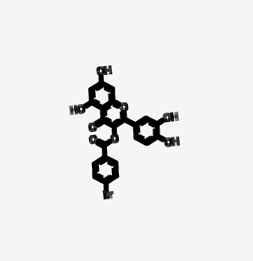 O=C(Oc1c(-c2ccc(O)c(O)c2)oc2cc(O)cc(O)c2c1=O)c1ccc(Br)cc1